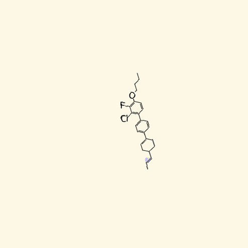 C/C=C/C1CC=C(c2ccc(-c3ccc(OCCCC)c(F)c3Cl)cc2)CC1